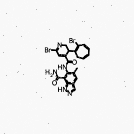 Cc1cc2cn[nH]c2c(C(N)=O)c1NC(=O)C1=CC(Br)=NCC1C1=C(Br)C=CC=CC1